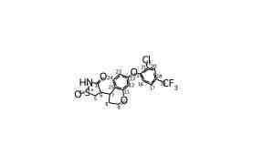 O=C1N[S+]([O-])CC1C1CCOc2cc(Oc3ccc(C(F)(F)F)cc3Cl)ccc21